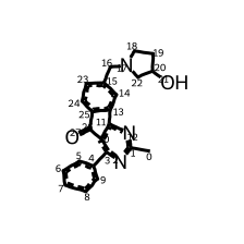 Cc1nc(-c2ccccc2)c2c(n1)-c1cc(CN3CCC(O)C3)ccc1C2=O